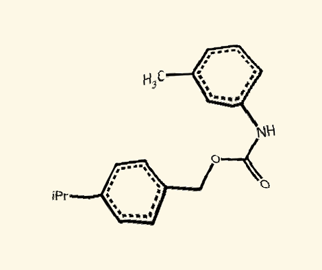 Cc1cccc(NC(=O)OCc2ccc(C(C)C)cc2)c1